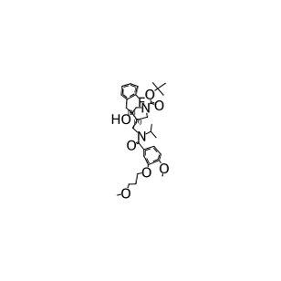 COCCCOc1cc(C(=O)N(C[C@@H]2CN(C(=O)OC(C)(C)C)C[C@@]2(O)Cc2ccccc2F)C(C)C)ccc1OC